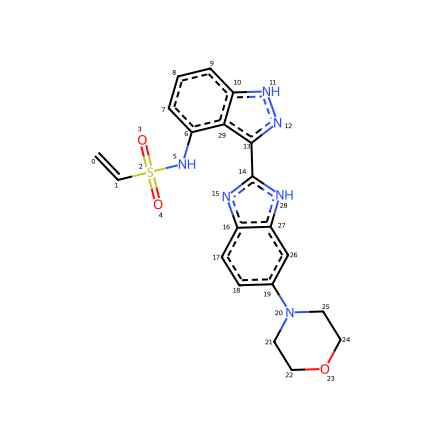 C=CS(=O)(=O)Nc1cccc2[nH]nc(-c3nc4ccc(N5CCOCC5)cc4[nH]3)c12